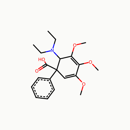 CCN(CC)C1C(OC)=C(OC)C(OC)=CC1(C(=O)O)c1ccccc1